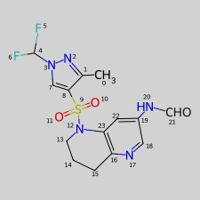 Cc1nn(C(F)F)cc1S(=O)(=O)N1CCCc2ncc(NC=O)cc21